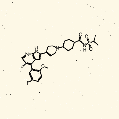 COc1ccc(F)cc1-c1c(F)cnc2[nH]c(C3=CCN(C4CCC(C(=O)NS(=O)(=O)C(C)C)CC4)CC3)cc12